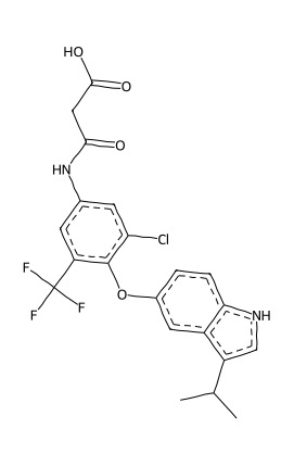 CC(C)c1c[nH]c2ccc(Oc3c(Cl)cc(NC(=O)CC(=O)O)cc3C(F)(F)F)cc12